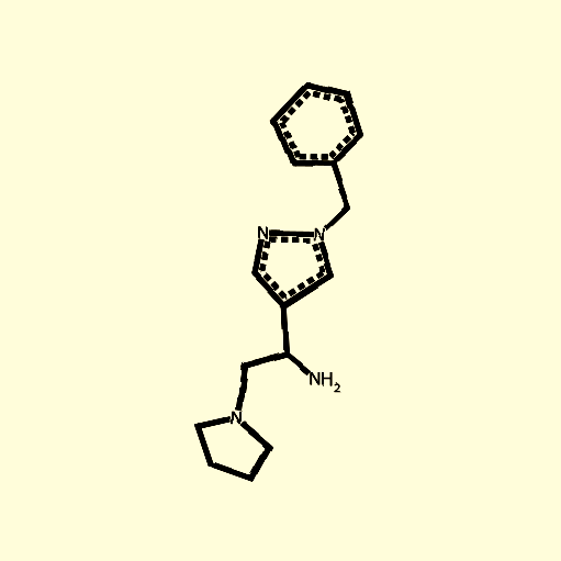 NC(CN1CCCC1)c1cnn(Cc2ccccc2)c1